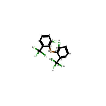 FC(F)(F)c1cccc(Cl)c1Sc1c(Cl)cccc1C(F)(F)F